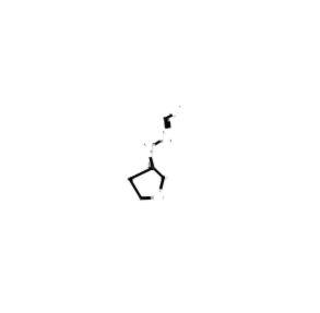 CC(=O)C=NNC1CCOC1